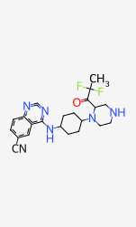 CC(F)(F)C(=O)C1CNCCN1C1CCC(Nc2ncnc3ccc(C#N)cc23)CC1